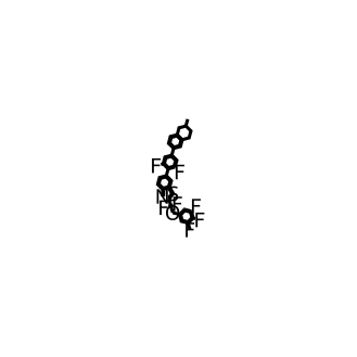 CC1CCc2cc(-c3cc(F)c(-c4ccc5nc(C(F)(F)Oc6cc(F)c(F)c(F)c6)sc5c4)c(F)c3)ccc2C1